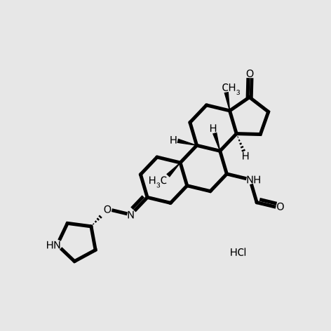 C[C@]12CCC(=NO[C@@H]3CCNC3)CC1CC(NC=O)[C@@H]1[C@H]2CC[C@]2(C)C(=O)CC[C@@H]12.Cl